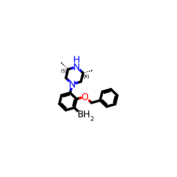 Bc1cccc(N2C[C@@H](C)N[C@@H](C)C2)c1OCc1ccccc1